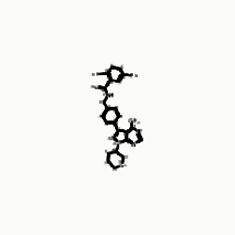 Nc1ncnc2c1c(-c1ccc(CNC(=O)c3cc(F)ccc3F)cc1)nn2C1CCCNC1